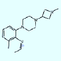 C/C=N\c1c(C)cccc1N1CCN(C2CN(C)C2)CC1